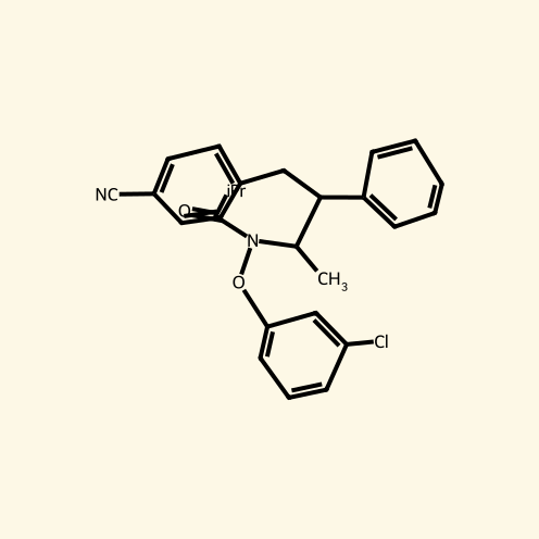 CC(C)C(=O)N(Oc1cccc(Cl)c1)C(C)C(Cc1ccc(C#N)cc1)c1ccccc1